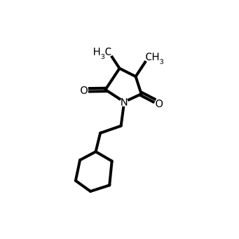 CC1C(=O)N(CCC2CCCCC2)C(=O)C1C